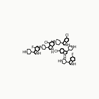 Clc1ccc2[nH]cc(C3CCNCC3)c2c1.Clc1ccc2c(C3CCNCC3)c[nH]c2c1.Clc1cccc2[nH]cc(C3CCNCC3)c12.Fc1ccc2[nH]cc(C3CCNCC3)c2c1.Fc1cccc2[nH]cc(C3CCNCC3)c12